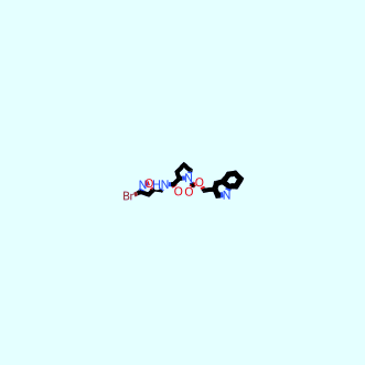 O=C(NC[C@H]1CC(Br)=NO1)C1CCCN1C(=O)OCc1cnc2ccccc2c1